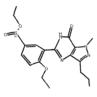 CCCc1nn(C)c2c(=O)[nH]c(-c3cc([S@](=O)OCC)ccc3OCC)nc12